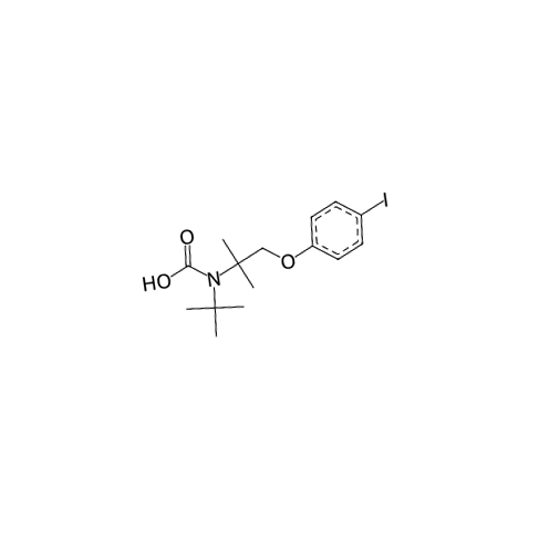 CC(C)(C)N(C(=O)O)C(C)(C)COc1ccc(I)cc1